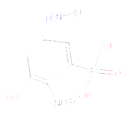 CC(=O)Nc1c(O)cccc1[As](=O)(O)O.CCN